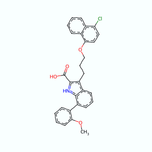 COc1ccccc1-c1cccc2c(CCCOc3ccc(Cl)c4ccccc34)c(C(=O)O)[nH]c12